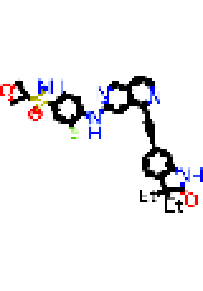 CCC1(CC)C(=O)Nc2cc(C#Cc3nccc4cnc(Nc5ccc(S(=N)(=O)C6COC6)cc5F)cc34)ccc21